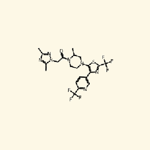 Cc1nc(C)n(CC(=O)N2CCN(c3sc(C(F)(F)F)nc3-c3ccc(C(F)(F)F)nc3)CC2C)n1